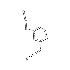 O=C=Nc1cccc(N=C=O)c1